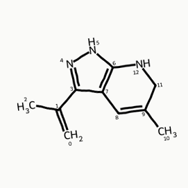 C=C(C)c1n[nH]c2c1C=C(C)CN2